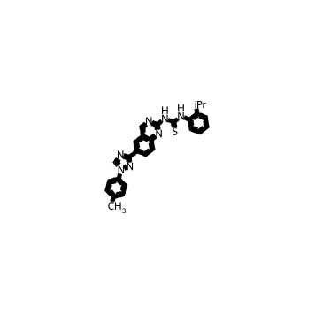 Cc1ccc(-n2cnc(-c3ccc4nc(NC(=S)Nc5ccccc5C(C)C)ncc4c3)n2)cc1